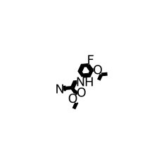 CCOC(=O)C(C#N)=CNc1ccc(F)c(OC(C)C)c1